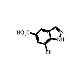 CCc1cc(C(=O)O)cc2cn[nH]c12